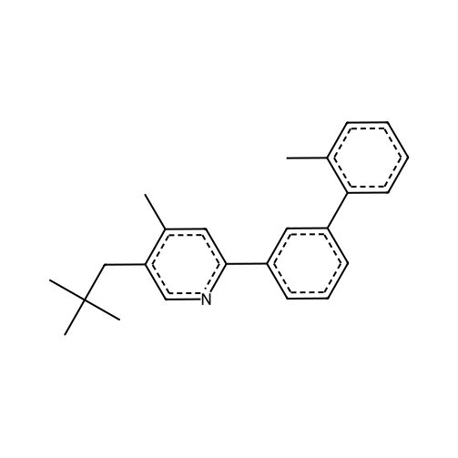 Cc1cc(-c2cccc(-c3ccccc3C)c2)ncc1CC(C)(C)C